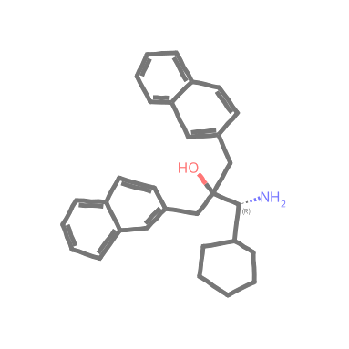 N[C@H](C1CCCCC1)C(O)(Cc1ccc2ccccc2c1)Cc1ccc2ccccc2c1